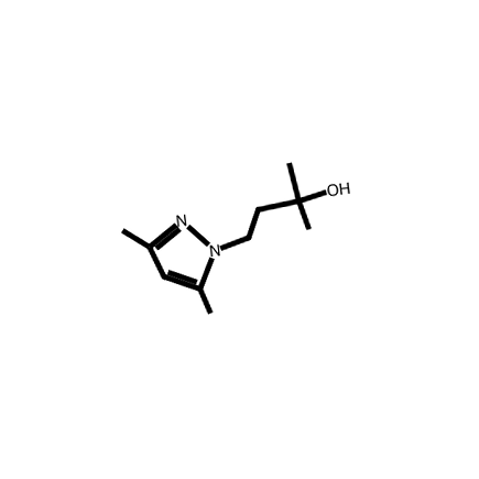 Cc1cc(C)n(CCC(C)(C)O)n1